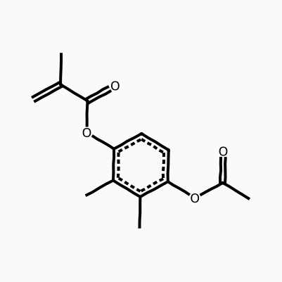 C=C(C)C(=O)Oc1ccc(OC(C)=O)c(C)c1C